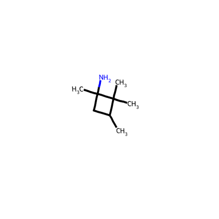 CC1CC(C)(N)C1(C)C